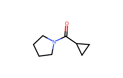 O=C(C1CC1)N1CCCC1